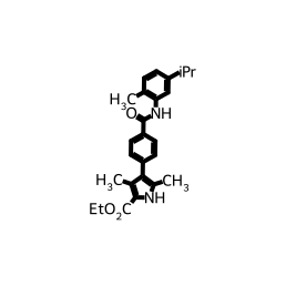 CCOC(=O)c1[nH]c(C)c(-c2ccc(C(=O)Nc3cc(C(C)C)ccc3C)cc2)c1C